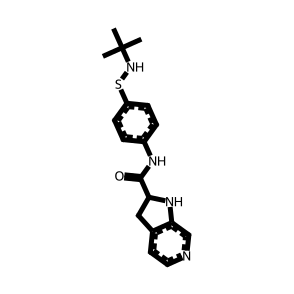 CC(C)(C)NSc1ccc(NC(=O)C2Cc3ccncc3N2)cc1